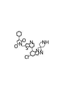 N#CC1(Cn2ccc3cc(Cl)cc(-c4ccnc5cc(CN6C(=O)C=C(c7ccccc7)C6=O)sc45)c32)CCNCC1